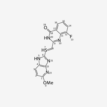 COc1ccc2[nH]c([SH]=Cc3nc4c(F)cccc4c(=O)[nH]3)nc2n1